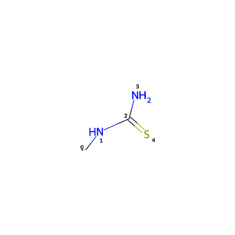 [CH2]NC(N)=S